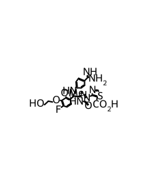 COc1c([C@H](Nc2ccc(C(=N)N)cc2)c2nn(-c3ncsc3C(=O)O)c(=O)[nH]2)ccc(F)c1OCCCO